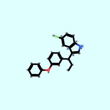 [CH2]CC(c1cccc(Oc2ccccc2)c1)c1c[nH]c2ccc(F)cc12